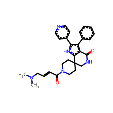 CN(C)C/C=C/C(=O)N1CCC2(CC1)CNC(=O)c1c2[nH]c(-c2ccncc2)c1-c1ccccc1